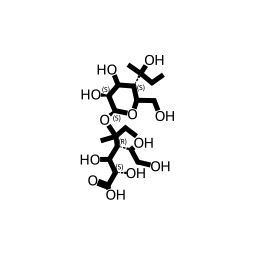 CCC(C)(O)[C@@H]1C(CO)O[C@@H](OC(C)(CC)[C@H](C(O)CO)C(O)[C@H](O)C(=O)O)[C@@H](O)C1O